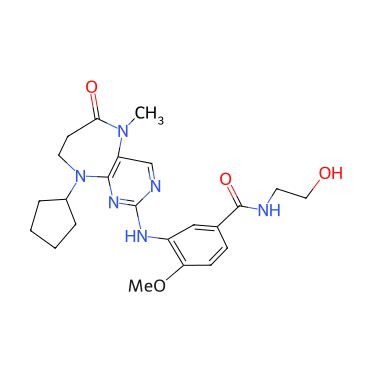 COc1ccc(C(=O)NCCO)cc1Nc1ncc2c(n1)N(C1CCCC1)CCC(=O)N2C